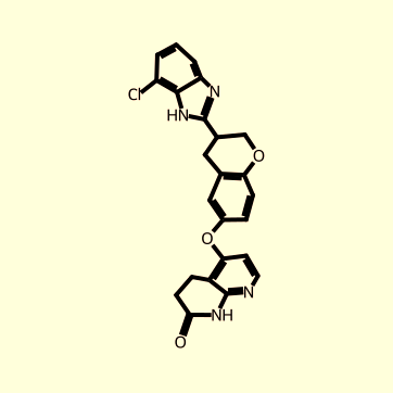 O=C1CCc2c(Oc3ccc4c(c3)CC(c3nc5cccc(Cl)c5[nH]3)CO4)ccnc2N1